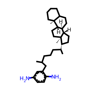 CC(CCCC(C)[C@H]1CC[C@H]2[C@@H]3CCC4CCCC[C@]4(C)[C@H]3CC[C@]12C)Cc1cc(N)ccc1N